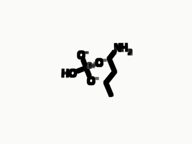 CCCCN.[O-][I+3]([O-])([O-])O